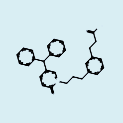 O=C(O)CCc1cccc(CCCn2cc(C(c3ccccc3)c3ccccc3)ccc2=O)c1